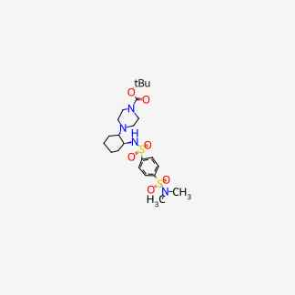 CN(C)S(=O)(=O)c1ccc(S(=O)(=O)N[C@H]2CCCC[C@H]2N2CCN(C(=O)OC(C)(C)C)CC2)cc1